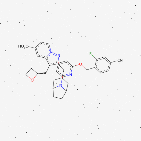 N#Cc1ccc(COc2cccc(N3C4CCC3CC(Cc3nn5ccc(C(=O)O)cc5c3C[C@@H]3CCO3)C4)n2)c(F)c1